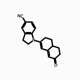 N#Cc1ccc2c(c1)CCN2C1=CC2=CC(=O)CCC2CC1